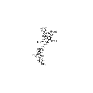 C=CCOC(=O)N1c2cc(OCCCCCC(=O)Nc3cc(C(=O)Nc4ccc(N)cc4)n(C)c3)c(OC)cc2C(=O)N(CCCCC)CC1OC1CCCCO1